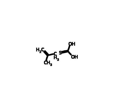 C=C(C)C.OC(O)=S